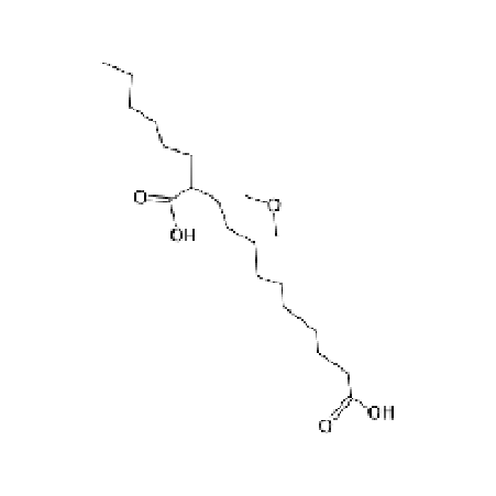 CCCCCCC(CCCCCCCCCC(=O)O)C(=O)O.COC